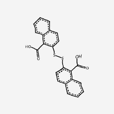 O=C(O)c1c(SSc2ccc3ccccc3c2C(=O)O)ccc2ccccc12